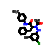 N#Cc1cc(Cl)cc(NN(C(=O)C=O)C(Cc2ccccc2)C(=O)Nc2ccc(C(=O)O)cc2)c1